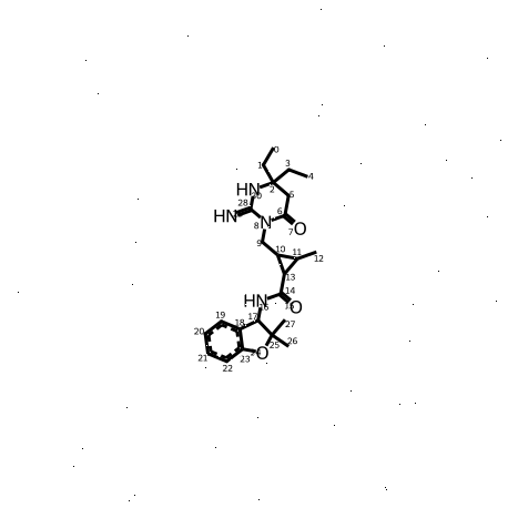 CCC1(CC)CC(=O)N(CC2C(C)C2C(=O)NC2c3ccccc3OC2(C)C)C(=N)N1